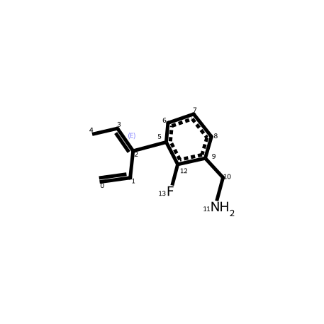 C=C/C(=C\C)c1cccc(CN)c1F